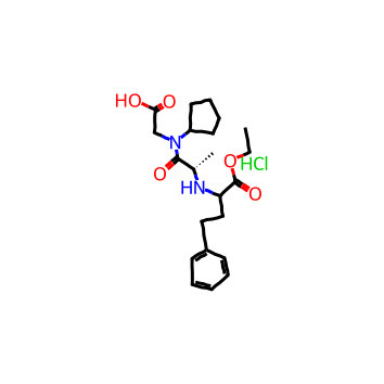 CCOC(=O)C(CCc1ccccc1)N[C@@H](C)C(=O)N(CC(=O)O)C1CCCC1.Cl